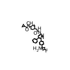 CN(C(=O)C1CC1)C1CCC(CC(=O)Nc2cc(-c3ccccc3)c(-c3ccc(C4(N)CC(F)C4)cc3)nn2)CC1